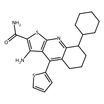 NC(=O)c1sc2nc3c(c(-c4cccs4)c2c1N)CCCC3C1CCCCC1